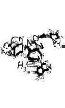 C=C(C#N)[C@H]1CN(c2nc(OC#C[C@@H]3CCCN3C)nc3c2CCN(c2cncc4cccc(C)c24)C3)CCN1C(C)=O